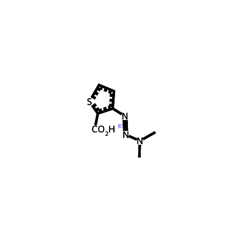 CN(C)/N=N/c1ccsc1C(=O)O